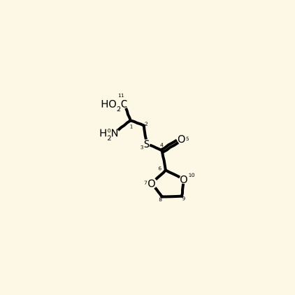 NC(CSC(=O)C1OCCO1)C(=O)O